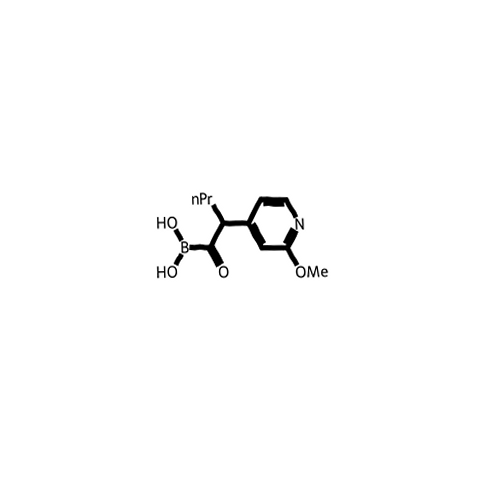 CCCC(C(=O)B(O)O)c1ccnc(OC)c1